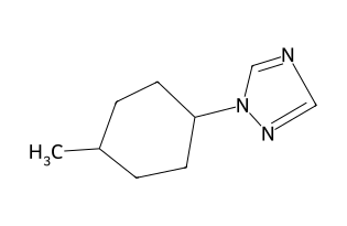 CC1CCC(n2cncn2)CC1